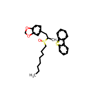 CCCCCCCC[S+]([O-])C(C)Cc1ccc2c(c1)OCO2.c1ccc2c(c1)sc1ccccc12